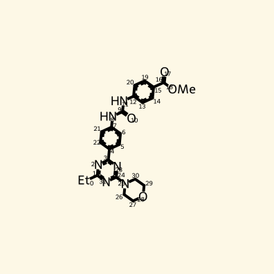 CCc1nc(-c2ccc(NC(=O)Nc3ccc(C(=O)OC)cc3)cc2)nc(N2CCOCC2)n1